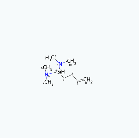 C=CCC[SiH](N(C)C)N(C)C